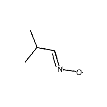 CC(C)C=N[O]